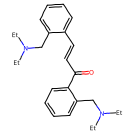 CCN(CC)Cc1ccccc1/C=C/C(=O)c1ccccc1CN(CC)CC